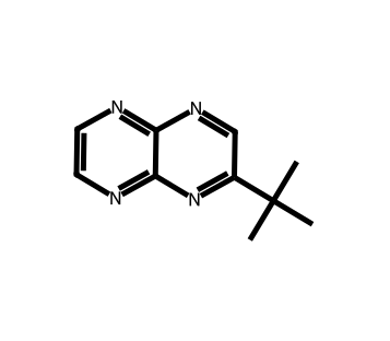 CC(C)(C)c1cnc2nccnc2n1